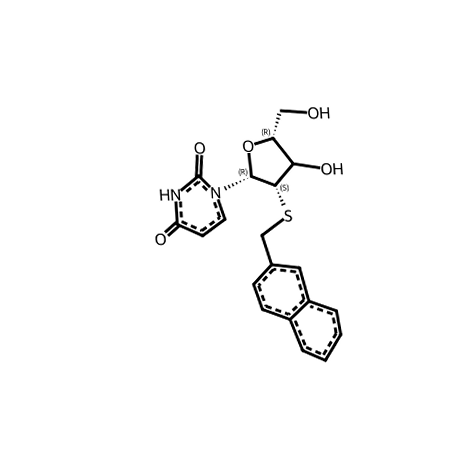 O=c1ccn([C@@H]2O[C@H](CO)C(O)[C@@H]2SCc2ccc3ccccc3c2)c(=O)[nH]1